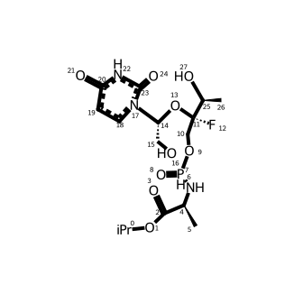 CC(C)OC(=O)[C@H](C)N[PH](=O)OC[C@@](F)(O[C@H](CO)n1ccc(=O)[nH]c1=O)[C@H](C)O